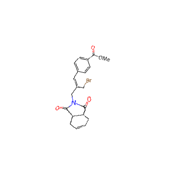 COC(=O)c1ccc(C=C(CBr)CN2C(=O)C3CC=CCC3C2=O)cc1